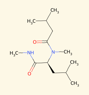 CNC(=O)[C@H](CC(C)C)N(C)C(=O)CC(C)C